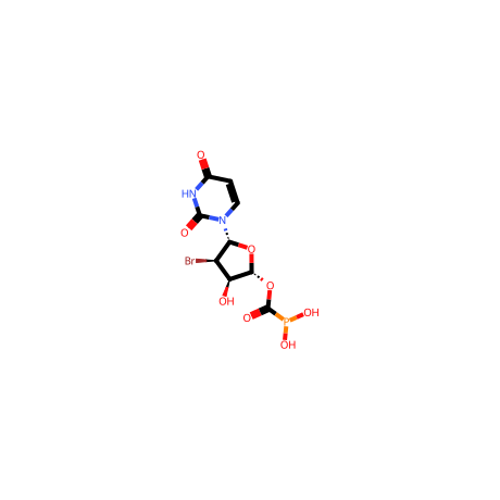 O=C(O[C@H]1O[C@@H](n2ccc(=O)[nH]c2=O)[C@H](Br)[C@@H]1O)P(O)O